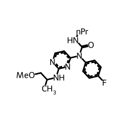 CCCNC(=O)N(c1ccc(F)cc1)c1ccnc(NC(C)COC)n1